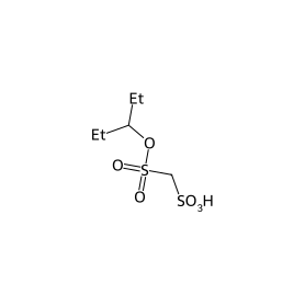 CCC(CC)OS(=O)(=O)CS(=O)(=O)O